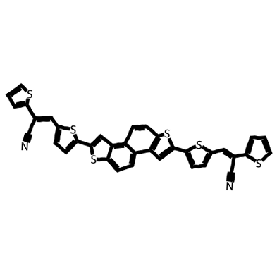 N#C/C(=C\c1ccc(-c2cc3c(ccc4c5cc(-c6ccc(/C=C(\C#N)c7cccs7)s6)sc5ccc34)s2)s1)c1cccs1